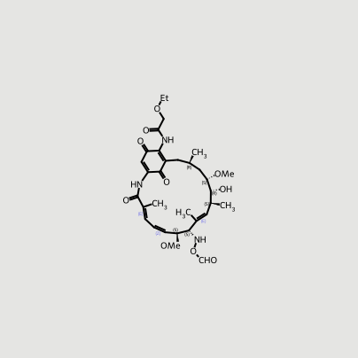 CCOCC(=O)NC1=C2C[C@@H](C)C[C@H](OC)[C@H](O)[C@@H](C)/C=C(\C)[C@H](NOC=O)[C@@H](OC)/C=C\C=C(/C)C(=O)NC(=CC1=O)C2=O